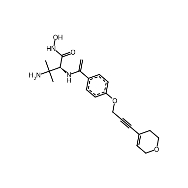 C=C(N[C@H](C(=O)NO)C(C)(C)N)c1ccc(OCC#CC2=CCOCC2)cc1